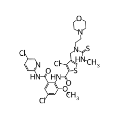 CNC(=S)N(CCN1CCOCC1)Cc1csc(C(=O)Nc2c(OC)cc(Cl)cc2C(=O)Nc2ccc(Cl)cn2)c1Cl